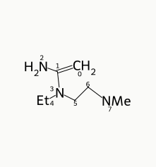 C=C(N)N(CC)CCNC